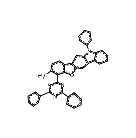 Cc1ccc2c(oc3cc4c5ccccc5n(-c5ccccc5)c4cc32)c1-c1nc(-c2ccccc2)nc(-c2ccccc2)n1